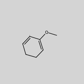 COC1=CCCC=[C]1